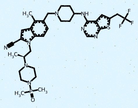 Cc1c(CN2CCC(Nc3ncnc4sc(CC(F)(F)F)cc34)CC2)ccc2c1cc(C#N)n2C[C@H](C)N1CCN(P(C)(C)=O)CC1